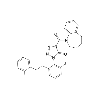 Cc1ccccc1CCc1cccc(F)c1-n1nnn(C(=O)N2CCCCc3ccccc32)c1=O